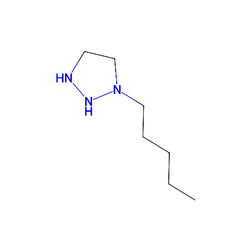 CCCCCN1CCNN1